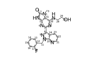 Cn1c(=O)[nH]c2nc(-c3nn(Cc4ccccc4F)c4ncccc34)nc(NCCO)c21